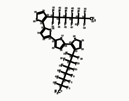 FC(F)(F)C(F)(F)C(F)(F)C(F)(F)C(F)(F)C(F)(F)C(F)(F)c1ccsc1-c1ccc(-c2ccc(-c3sccc3C(F)(F)C(F)(F)C(F)(F)C(F)(F)C(F)(F)C(F)(F)C(F)(F)F)s2)s1